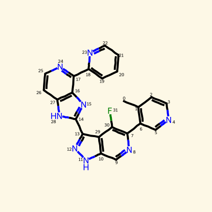 Cc1ccncc1-c1ncc2[nH]nc(-c3nc4c(-c5ccccn5)nccc4[nH]3)c2c1F